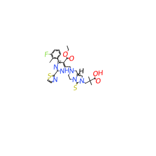 CCOC(=O)C1=C(CN2CCN3C(=S)N(CC(C)(C)C(=O)O)C[C@H]3C2)NC(c2nccs2)=N[C@H]1c1cccc(F)c1C